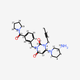 CC#CCn1c(N2CCC[C@@H](N)C2)cc(=O)n(Cc2cccc(C(=O)N3CCCC3)c2)c1=O